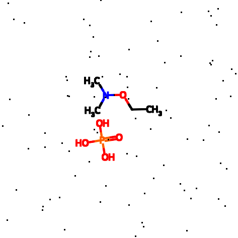 CCON(C)C.O=P(O)(O)O